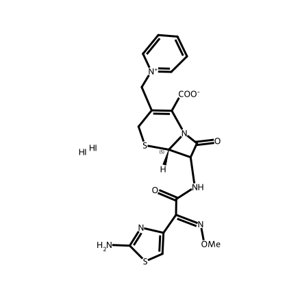 CON=C(C(=O)NC1C(=O)N2C(C(=O)[O-])=C(C[n+]3ccccc3)CS[C@@H]12)c1csc(N)n1.I.I